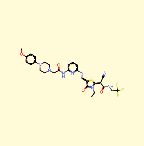 CCn1c(=C(C#N)C(=O)NCC(F)(F)F)sc(=CNc2cccc(NC(=O)CN3CCN(c4ccc(OC)cc4)CC3)n2)c1=O